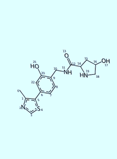 Cc1ncsc1-c1ccc(CNC(=O)C2CC(O)CN2)c(O)c1